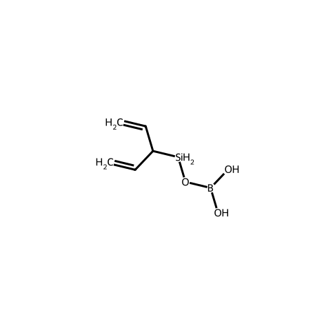 C=CC(C=C)[SiH2]OB(O)O